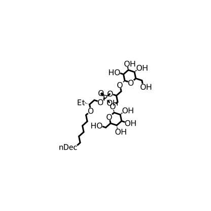 CCCCCCCCCCCCCCCCO[C@H](CC)COP(=O)(O)OC(CO[C@H]1OC(CO)[C@@H](O)[C@H](O)C1O)CO[C@H]1OC(CO)[C@@H](O)C(O)[C@H]1O